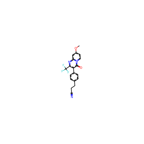 COc1ccn2c(=O)c(-c3ccc(CCC#N)cc3)c(C(F)(F)F)nc2c1